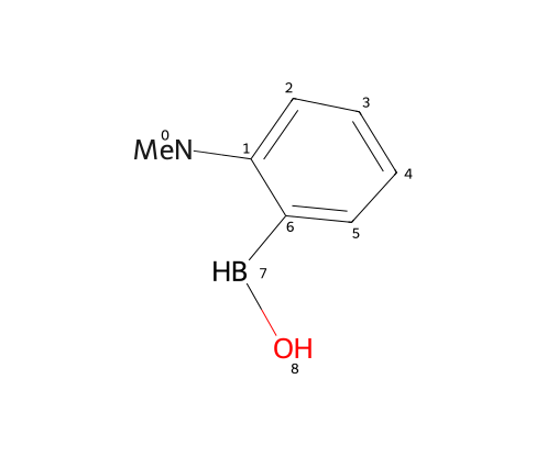 CNc1ccccc1BO